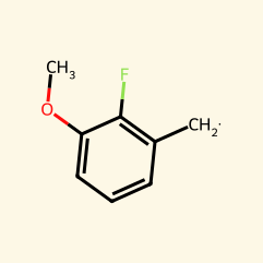 [CH2]c1cccc(OC)c1F